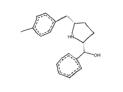 Cc1ccc(C[C@@H]2CC[C@H](C(O)c3ccccc3)N2)cc1